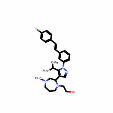 COC(OC)c1c(C2CN(C=O)CCCN2CCO)cnn1-c1cccc(/C=C/c2ccc(Cl)cc2)c1